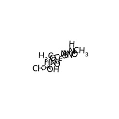 COc1ccc(-c2ccc3nc(NC(C)=O)cn3n2)c(F)c1C(=O)NCC[C@@H](O)c1ccc(Cl)cc1